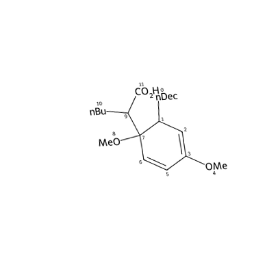 CCCCCCCCCCC1C=C(OC)C=CC1(OC)C(CCCC)C(=O)O